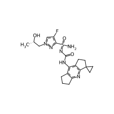 C[C@H](O)Cn1cc(F)c(S(N)(=O)=NC(=O)Nc2c3c(nc4c2CCC42CC2)CCC3)n1